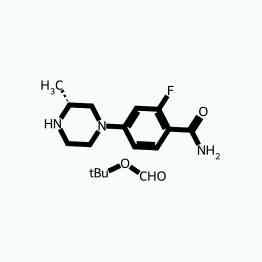 CC(C)(C)OC=O.C[C@@H]1CN(c2ccc(C(N)=O)c(F)c2)CCN1